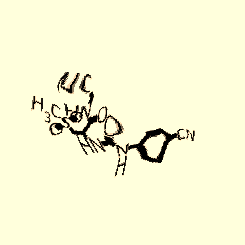 CS(=O)(=O)CC(NC(=O)Nc1ccc(C#N)cc1)C(=O)NCC#N